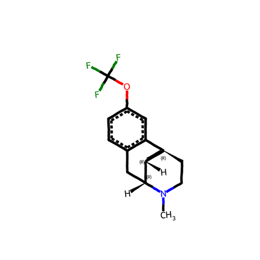 CN1CC[C@]23CCCC[C@H]2[C@H]1Cc1ccc(OC(F)(F)F)cc13